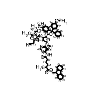 COc1ccc(C(OC[C@H]2O[C@@H](n3cnc4c(NC(=O)CCCC(C)C(=O)OCC5c6ccccc6-c6ccccc65)ncnc43)CC2OP(OCCC#N)N(C(C)C)C(C)C)(c2ccccc2)c2ccc(OC)cc2)cc1